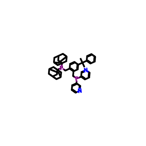 CC(C)(c1ccccc1)c1ccc(CP(C23CC4CC(CC(C4)C2)C3)C23CC4CC(CC(C4)C2)C3)c(CP(c2cccnc2)c2cccnc2)c1